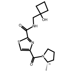 C[C@H]1CCCN1C(=O)c1csc(C(=O)NCC2(O)CCC2)n1